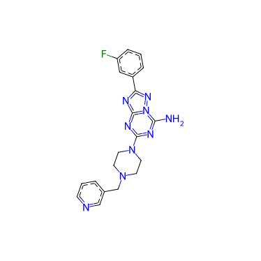 Nc1nc(N2CCN(Cc3cccnc3)CC2)nc2nc(-c3cccc(F)c3)nn12